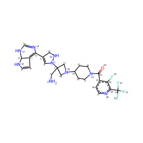 NCC1(N2C=C(C3=C4C=CNC4NC=N3)CN2)CN(C2CCN(C(=O)c3ccnc(C(F)(F)F)c3F)CC2)C1